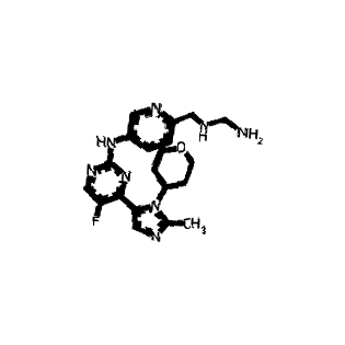 Cc1ncc(-c2nc(Nc3ccc(CNCN)nc3)ncc2F)n1C1CCOCC1